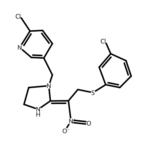 O=[N+]([O-])C(CSc1cccc(Cl)c1)=C1NCCN1Cc1ccc(Cl)nc1